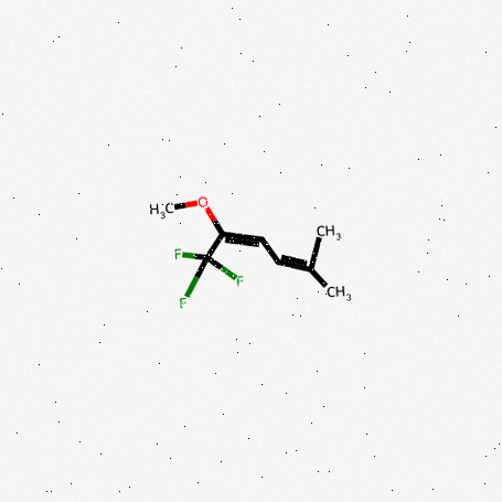 COC(=CC=C(C)C)C(F)(F)F